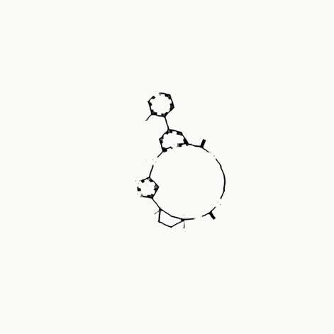 O=C1NCCCNC(=O)c2cc(-c3ccncc3F)cc(n2)Nc2cc([nH]n2)[C@H]2CC[C@H](C2)O1